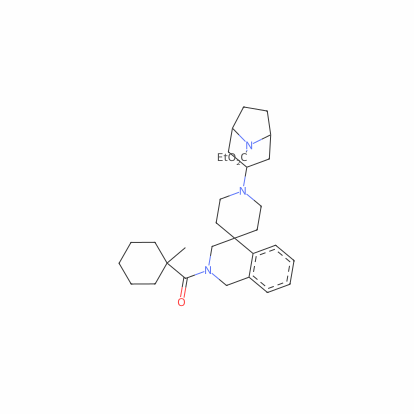 CCOC(=O)N1C2CCC1CC(N1CCC3(CC1)CN(C(=O)C1(C)CCCCC1)Cc1ccccc13)C2